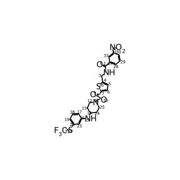 O=C(NCc1ccc(S(=O)(=O)N2CCC(Nc3cccc(SC(F)(F)F)c3)CC2)s1)c1cccc([N+](=O)[O-])c1